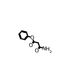 NC(=O)CC(=O)Oc1ccccc1